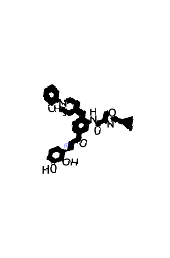 Cc1ccccc1N1CCC(=Cc2ccc(C(=O)/C=C/[C@@H]3CCC[C@@H](O)[C@H]3O)cc2NC(=O)c2coc(C3CC3)n2)CC1